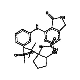 CC(C)(C)C1(NC(=O)O)CCCC1Nc1cc2c(c(Nc3cccc(S(C)(=O)=O)c3)n1)C(=O)NC2